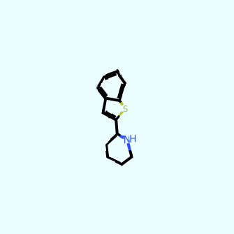 c1ccc2sc(C3CCCCN3)cc2c1